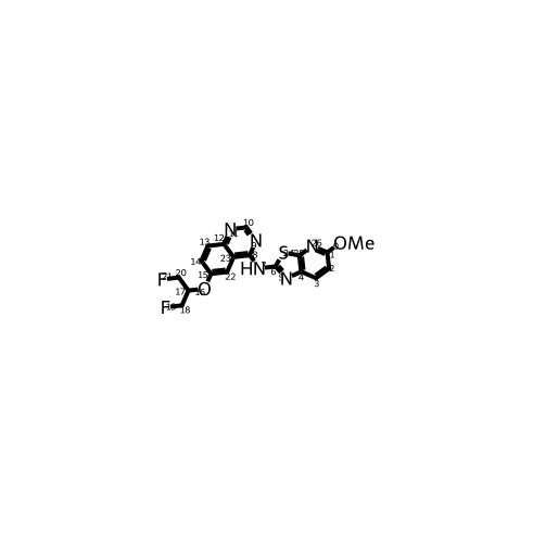 COc1ccc2nc(Nc3ncnc4ccc(OC(CF)CF)cc34)sc2n1